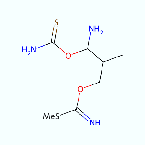 CSC(=N)OCC(C)C(N)OC(N)=S